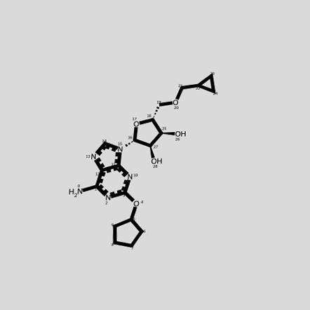 Nc1nc(OC2CCCC2)nc2c1ncn2[C@@H]1O[C@H](COCC2CC2)[C@@H](O)[C@H]1O